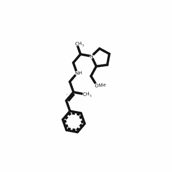 COCC1CCCN1C(C)CNC/C(C)=C/c1ccccc1